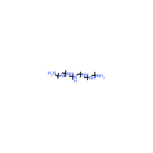 CC(C)(N)CNC(C)(C)CNC(C)(C)CNC(C)(C)CNC(C)(C)CNC(C)(C)CN